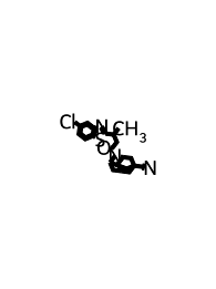 CC(CC(=O)N1C2CC3CC1CC(C#N)(C3)C2)c1nc2cc(Cl)ccc2s1